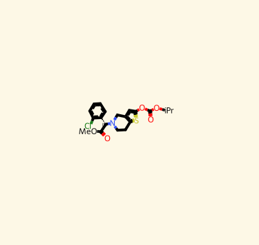 COC(=O)[C@H](c1ccccc1Cl)N1CCc2sc(OC(=O)OC(C)C)cc2C1